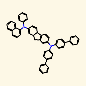 C1=CC2c3ccc(N(c4ccc(-c5ccccc5)cc4)c4ccc(-c5ccccc5)cc4)cc3CC2C=C1N(c1ccccc1)c1cccc2ccccc12